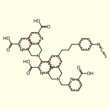 O=C(O)c1cccc(CN(Cc2cc(CCCc3ccc(N=C=S)cc3)cc(CN(Cc3cccc(C(=O)O)n3)Cc3cccc(C(=O)O)n3)n2)Cc2cccc(C(=O)O)n2)n1